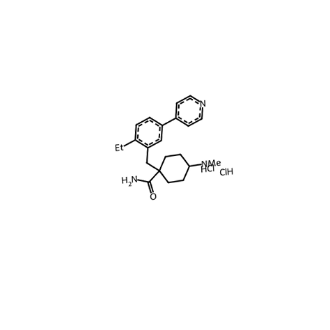 CCc1ccc(-c2ccncc2)cc1CC1(C(N)=O)CCC(NC)CC1.Cl.Cl